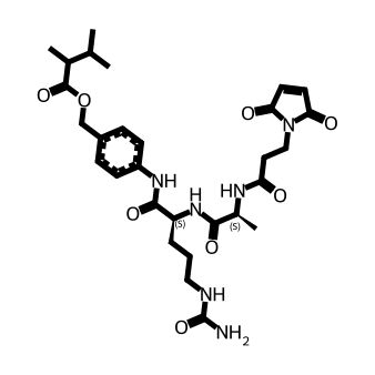 CC(C)C(C)C(=O)OCc1ccc(NC(=O)[C@H](CCCNC(N)=O)NC(=O)[C@H](C)NC(=O)CCN2C(=O)C=CC2=O)cc1